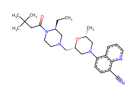 CC[C@H]1CN(C[C@H]2CN(c3ccc(C#N)c4ncccc34)C[C@@H](C)O2)CCN1C(=O)CC(C)(C)C